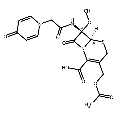 CO[C@@]1(NC(=O)Cn2ccc(=O)cc2)C(=O)N2C(C(=O)O)=C(COC(C)=O)CS[C@@H]21